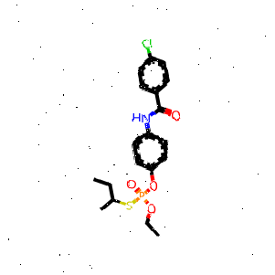 CCOP(=O)(Oc1ccc(NC(=O)c2ccc(Cl)cc2)cc1)SC(C)CC